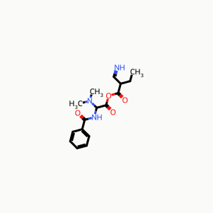 CCC(C=N)C(=O)OC(=O)C(NC(=O)c1ccccc1)N(C)C